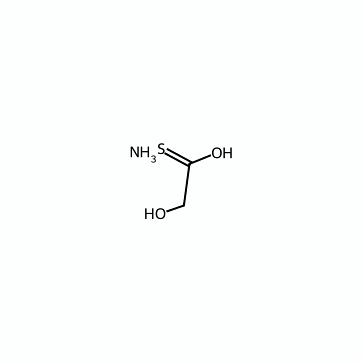 N.OCC(O)=S